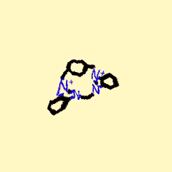 C1=C\C2=C/C=C\C(=C/1)C[n+]1cn(c3ccccc31)CCCn1c[n+](c3ccccc31)C2